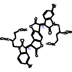 CCCCCCCCCCCCC(CCCCCCCCCC)CN1C(=O)/C(=C2/C(=O)Oc3cc4c(cc32)OC(=O)/C4=C2/C(=O)N(CC(CCCCCCCCCC)CCCCCCCCCCCC)c3cc(Br)ccc32)c2cc(Br)ccc21